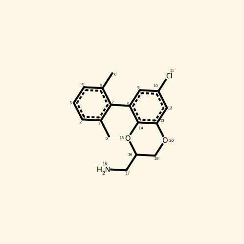 Cc1cccc(C)c1-c1cc(Cl)cc2c1OC(CN)CO2